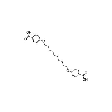 O=C(O)c1ccc(OCCCCCCCCCCOc2ccc(C(=O)O)cc2)cc1